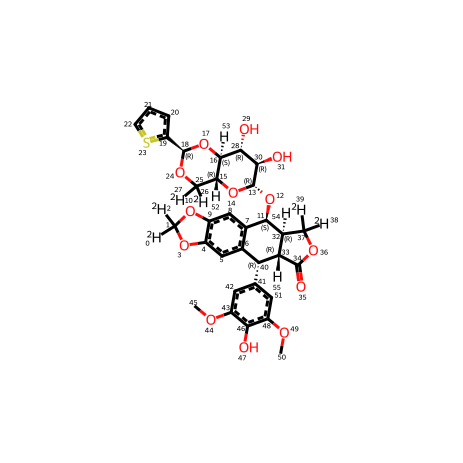 [2H]C1([2H])Oc2cc3c(cc2O1)[C@@H](O[C@@H]1O[C@H]2[C@@H](O[C@H](c4cccs4)OC2([2H])[2H])[C@H](O)[C@H]1O)[C@@H]1[C@H](C(=O)OC1([2H])[2H])[C@@H]3c1cc(OC)c(O)c(OC)c1